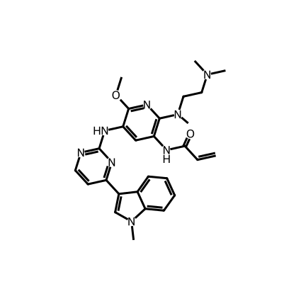 C=CC(=O)Nc1cc(Nc2nccc(-c3cn(C)c4ccccc34)n2)c(OC)nc1N(C)CCN(C)C